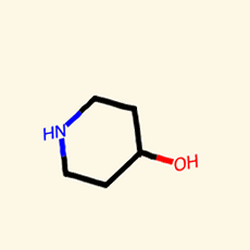 O[C]1CCNCC1